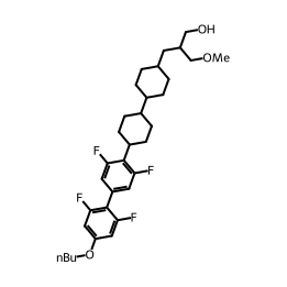 CCCCOc1cc(F)c(-c2cc(F)c(C3CCC(C4CCC(CC(CO)COC)CC4)CC3)c(F)c2)c(F)c1